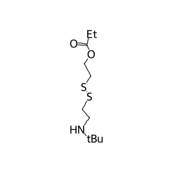 CCC(=O)OCCSSCCNC(C)(C)C